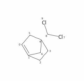 C1=C2CCC(C1)C2.ClCCl